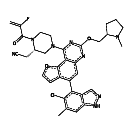 C=C(F)C(=O)N1CCN(c2nc(OCC3CCCN3C)nc3cc(-c4c(Cl)c(C)cc5[nH]ncc45)c4ccoc4c23)C[C@@H]1CC#N